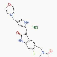 Cl.O=C1Nc2cc(F)c(CN3CCOC3=O)cc2/C1=C/c1cc(CN2CCOCC2)c[nH]1